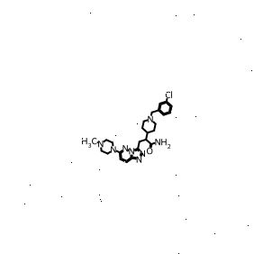 CN1CCN(c2ccc3nnc(CC(C(N)=O)C4CCN(Cc5cccc(Cl)c5)CC4)n3n2)CC1